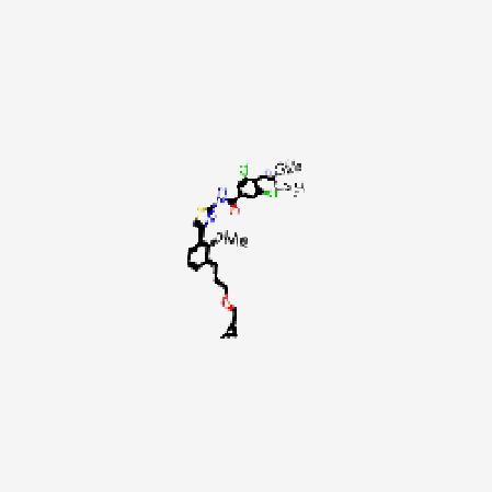 CO/C(=C/c1c(Cl)cc(C(=O)Nc2nc(-c3cccc(CCCOCC4CC4)c3OC)cs2)cc1Cl)C(=O)O